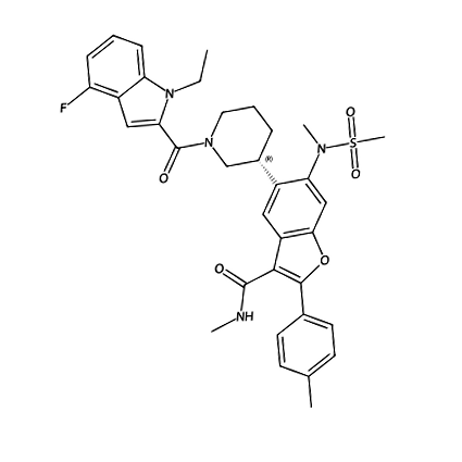 CCn1c(C(=O)N2CCC[C@H](c3cc4c(C(=O)NC)c(-c5ccc(C)cc5)oc4cc3N(C)S(C)(=O)=O)C2)cc2c(F)cccc21